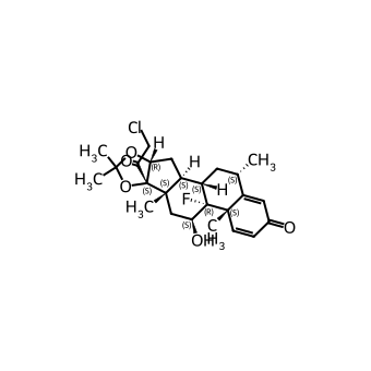 C[C@H]1C[C@H]2[C@@H]3C[C@H]4OC(C)(C)O[C@@]4(C(=O)CCl)[C@@]3(C)C[C@H](O)[C@]2(F)[C@@]2(C)C=CC(=O)C=C12